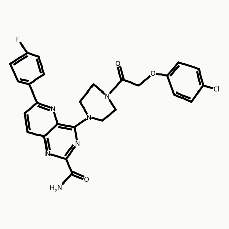 NC(=O)c1nc(N2CCN(C(=O)COc3ccc(Cl)cc3)CC2)c2nc(-c3ccc(F)cc3)ccc2n1